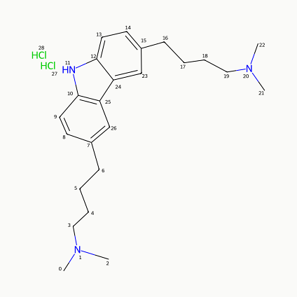 CN(C)CCCCc1ccc2[nH]c3ccc(CCCCN(C)C)cc3c2c1.Cl.Cl